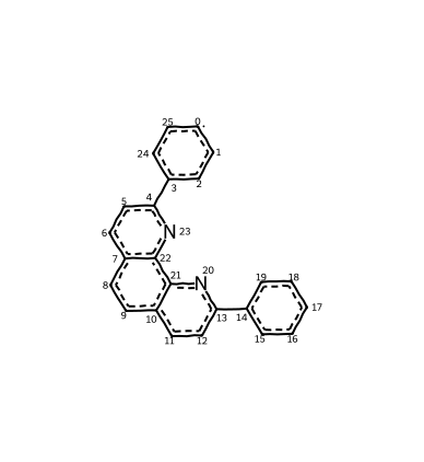 [c]1ccc(-c2ccc3ccc4ccc(-c5ccccc5)nc4c3n2)cc1